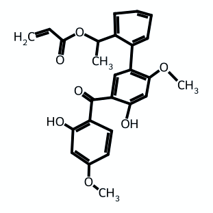 C=CC(=O)OC(C)c1ccccc1-c1cc(C(=O)c2ccc(OC)cc2O)c(O)cc1OC